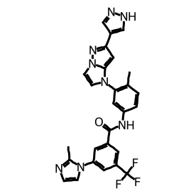 Cc1ccc(NC(=O)c2cc(-n3ccnc3C)cc(C(F)(F)F)c2)cc1-n1ccn2nc(-c3cn[nH]c3)cc12